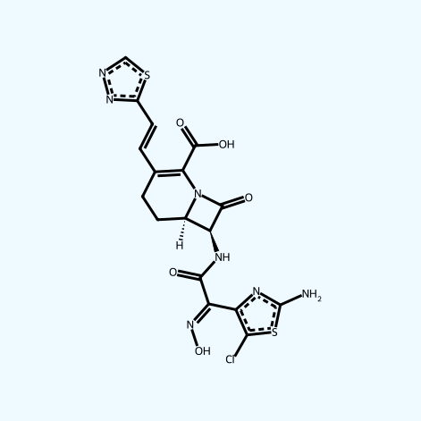 Nc1nc(/C(=N\O)C(=O)N[C@@H]2C(=O)N3C(C(=O)O)=C(C=Cc4nncs4)CC[C@H]23)c(Cl)s1